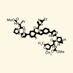 CCc1ncc(C2Oc3cc(-c4cnc([C@@H]5CCCN5C(=O)[C@@H](NC(=O)OC)C(C)C)[nH]4)cc(F)c3-c3cc4cc(-c5cnc([C@@H]6C[C@H]7C[C@H]7N6C(=O)[C@@H](NC(=O)OC)C6C[C@@H](C)O[C@@H](C)C6)[nH]5)ccc4n32)s1